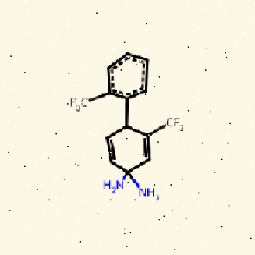 NC1(N)C=CC(c2ccccc2C(F)(F)F)C(C(F)(F)F)=C1